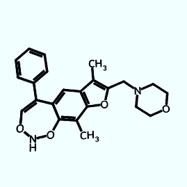 Cc1c(CN2CCOCC2)oc2c(C)c3o[nH]occ(-c4ccccc4)c3cc12